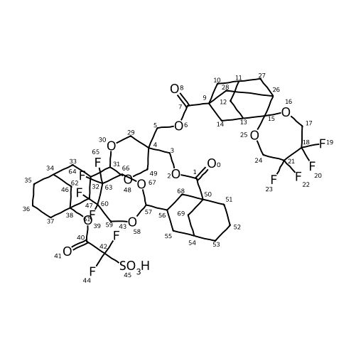 O=C(OCC1(COC(=O)C23CC4CC(C2)C2(OCC(F)(F)C(F)(F)CO2)C(C4)C3)COC(C2CC3CCCC(OC(=O)C(F)(F)S(=O)(=O)O)(C3)C2)OC1)C12CCCC(CC(C3OCC(F)(F)C(F)(F)CO3)C1)C2